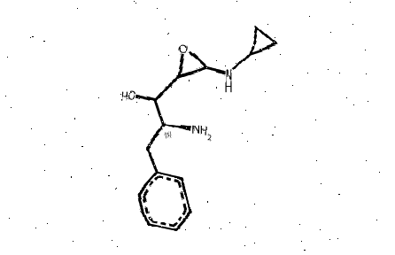 N[C@@H](Cc1ccccc1)C(O)C1OC1NC1CC1